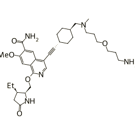 CC[C@@H]1CC(=O)N[C@@H]1COc1ncc(C#C[C@H]2CC[C@H](CN(C)CCCOCCCN)CC2)c2cc(C(N)=O)c(OC)cc12